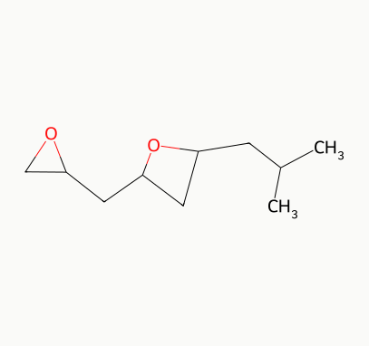 CC(C)CC1CC(CC2CO2)O1